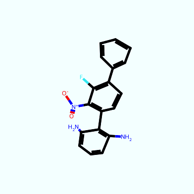 Nc1cccc(N)c1-c1ccc(-c2ccccc2)c(F)c1[N+](=O)[O-]